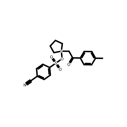 Cc1ccc(C(=O)CS2(OS(=O)(=O)c3ccc(C#N)cc3)CCCC2)cc1